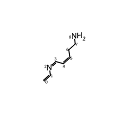 C=C/N=C\C=C/CCN